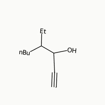 [C]#CC(O)C(CC)CCCC